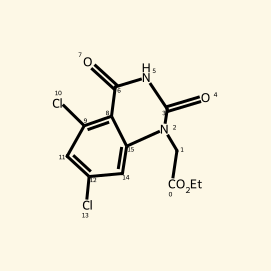 CCOC(=O)Cn1c(=O)[nH]c(=O)c2c(Cl)cc(Cl)cc21